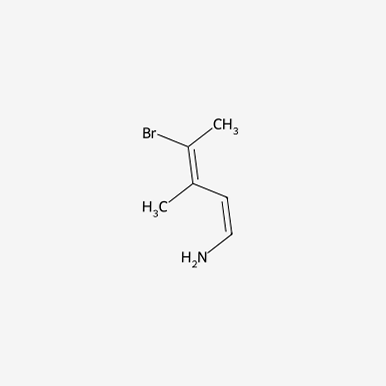 C/C(Br)=C(C)\C=C/N